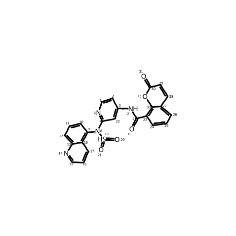 O=C(Nc1ccnc(N(c2cccc3ncccc23)[SH](=O)=O)c1)c1cccc2ccc(=O)oc12